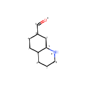 O=CC1CCC2CCCNC2C1